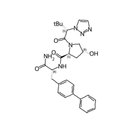 CC(C)(C)[C@@H](C(=O)N1C[C@H](O)C[C@H]1C(=O)N[C@H](Cc1ccc(-c2ccccc2)cc1)C(N)=O)n1ccnn1